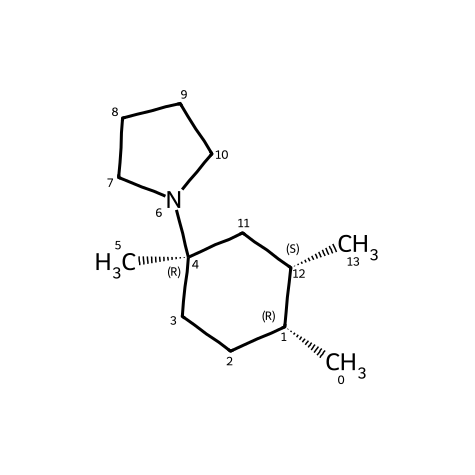 C[C@@H]1CC[C@@](C)(N2CCCC2)C[C@@H]1C